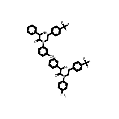 Cc1ccc(N(CCc2ccc(C(F)(F)F)cc2)C(=O)C(N)c2ccccc2)cc1.Cc1cccc(N(CCc2ccc(C(F)(F)F)cc2)C(=O)C(N)c2ccccc2)c1